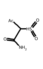 CC(=O)C(C(N)=O)[SH](=O)=O